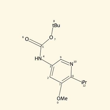 COc1cc(NC(=O)OC(C)(C)C)cnc1C(C)C